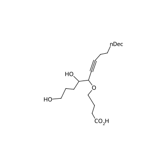 CCCCCCCCCCCCC#CC(OCCCC(=O)O)C(O)CCCO